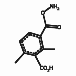 Cc1ccc(C(=O)ON)c(C)c1C(=O)O